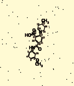 COc1cccc(NC(=O)c2ccc(N3CCC(C)CC3)c([N+](=O)O)c2)c1